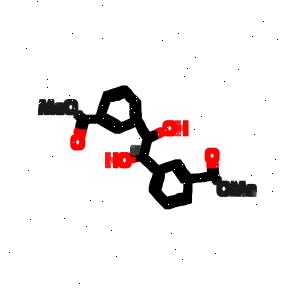 COC(=O)c1cccc(C(O)[C@H](O)c2cccc(C(=O)OC)c2)c1